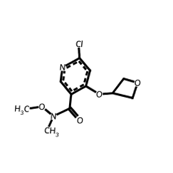 CON(C)C(=O)c1cnc(Cl)cc1OC1COC1